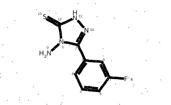 Nn1c(-c2cccc(F)c2)n[nH]c1=S